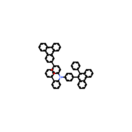 c1ccc(-c2ccccc2N(c2ccc(-c3ccc4c5ccccc5c5ccccc5c4c3)cc2)c2ccc(-c3c(-c4ccccc4)c4ccccc4c4ccccc34)cc2)cc1